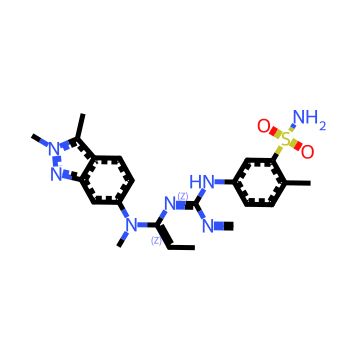 C=N/C(=N\C(=C/C)N(C)c1ccc2c(C)n(C)nc2c1)Nc1ccc(C)c(S(N)(=O)=O)c1